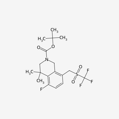 CC(C)(C)OC(=O)N1Cc2c(CS(=O)(=O)C(F)(F)F)ccc(F)c2C(C)(C)C1